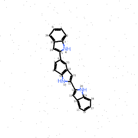 c1ccc2[nH]c(-c3ccc4[nH]c(-c5cc6ccccc6[nH]5)cc4c3)cc2c1